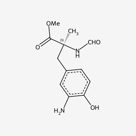 COC(=O)[C@](C)(Cc1ccc(O)c(N)c1)NC=O